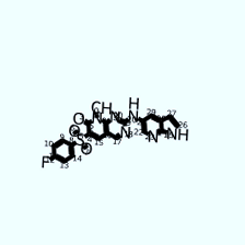 Cn1c(=O)c(S(=O)(=O)c2ccc(F)cc2)cc2cnc(Nc3cnc4[nH]ccc4c3)nc21